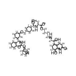 CC(C)CC(NC(=O)c1ccc(COc2cccc([C@@H](NC(=O)OC3CN4CCC3CC4)c3ccccc3)c2)cc1)C(=O)OCCCCNCC(O)c1ccc(O)c2[nH]c(=O)ccc12